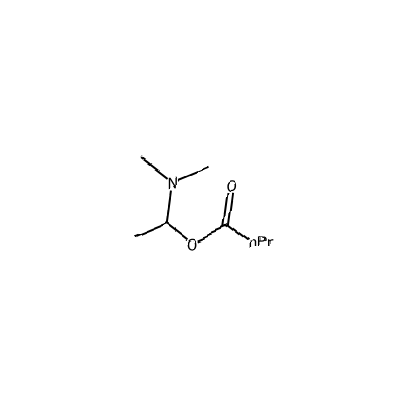 CCCC(=O)OC(C)N(C)C